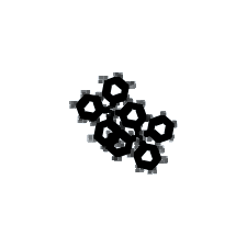 c1ccc([Si](c2ccccc2)(c2ccccc2)c2cccc([Si](c3ccccc3)(c3ccccc3)c3ccccc3)c2)cc1